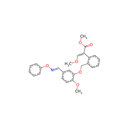 CO/C=C(/C(=O)OC)c1ccccc1COc1cc(/C=N/Oc2ccccc2)ccc1OC